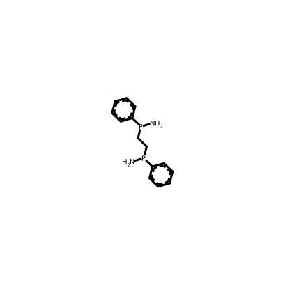 NP(CCP(N)c1ccccc1)c1ccccc1